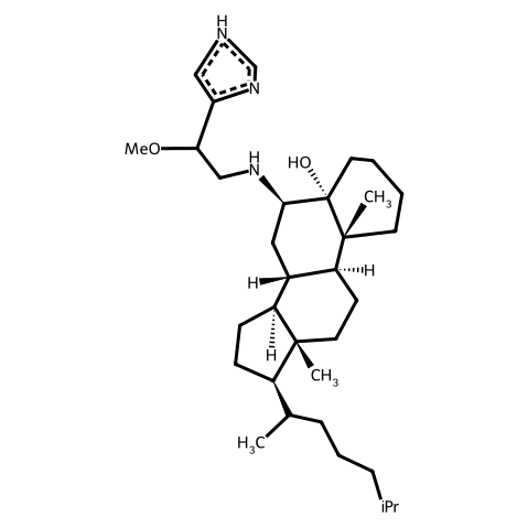 COC(CN[C@@H]1C[C@H]2[C@@H]3CC[C@H](C(C)CCCC(C)C)[C@@]3(C)CC[C@@H]2[C@@]2(C)CCCC[C@]12O)c1c[nH]cn1